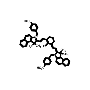 CC1(C)C(/C=C/C2=C(Cl)C(=C/C=C3\N(Cc4ccc(C(=O)O)cc4)c4ccc5ccccc5c4C3(C)C)/CCC2)=[N+](Cc2ccc(C(=O)O)cc2)c2ccc3ccccc3c21